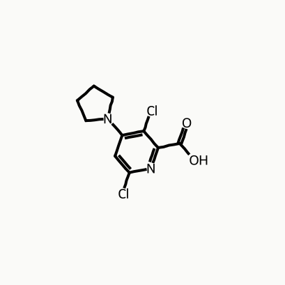 O=C(O)c1nc(Cl)cc(N2CCCC2)c1Cl